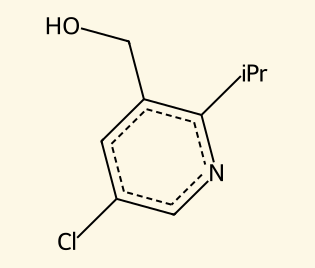 CC(C)c1ncc(Cl)cc1CO